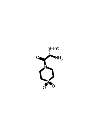 CCCCC[C@H](N)C(=O)N1CCS(=O)(=O)CC1